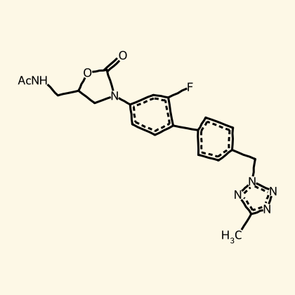 CC(=O)NCC1CN(c2ccc(-c3ccc(Cn4nnc(C)n4)cc3)c(F)c2)C(=O)O1